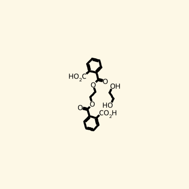 O=C(O)c1ccccc1C(=O)OCCOC(=O)c1ccccc1C(=O)O.OCCO